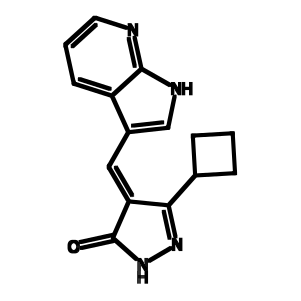 O=C1NN=C(C2CCC2)C1=Cc1c[nH]c2ncccc12